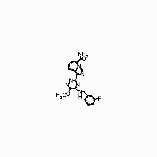 COc1nnc(-c2ncn3c(C(N)=O)cccc23)nc1NCc1cccc(F)c1